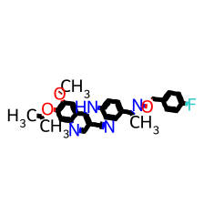 COc1cc2c(Nc3ccc(C(C)=NOCc4ccc(F)cc4)cc3)c(C#N)cnc2cc1OC(C)C